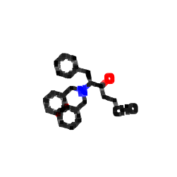 O=CCCC(=O)[C@H](Cc1ccccc1)N(Cc1ccccc1)Cc1ccccc1